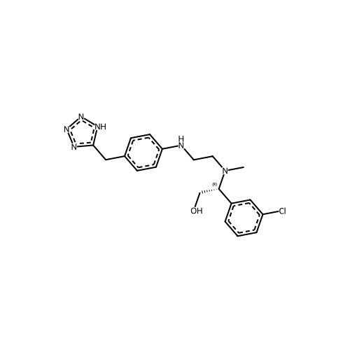 CN(CCNc1ccc(Cc2nnn[nH]2)cc1)[C@@H](CO)c1cccc(Cl)c1